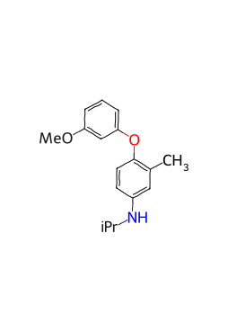 COc1cccc(Oc2ccc(NC(C)C)cc2C)c1